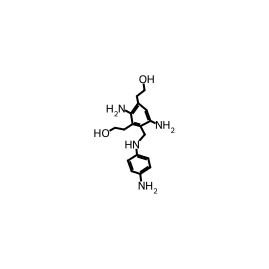 Nc1ccc(NCc2c(N)cc(CCO)c(N)c2CCO)cc1